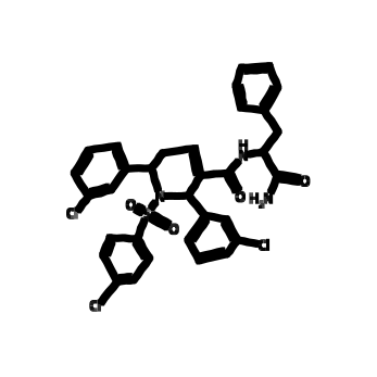 NC(=O)C(Cc1ccccc1)NC(=O)C1=CCC(c2cccc(Cl)c2)N(S(=O)(=O)c2ccc(Cl)cc2)C1c1cccc(Cl)c1